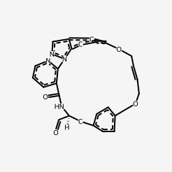 O=C[C@@H]1Cc2ccc(cc2)OC/C=C/COc2ccc3c(cnn3-c3ncccc3C(=O)N1)c2